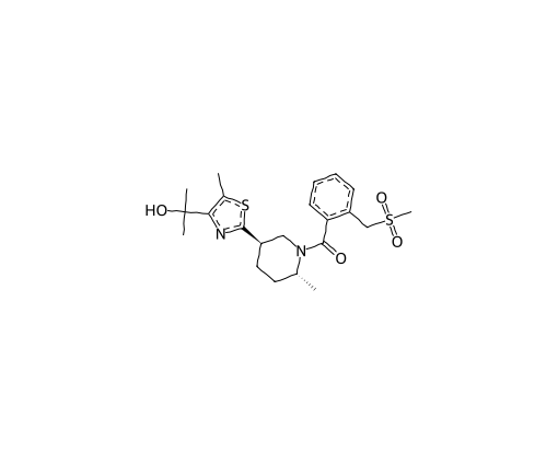 Cc1sc([C@@H]2CC[C@@H](C)N(C(=O)c3ccccc3CS(C)(=O)=O)C2)nc1C(C)(C)O